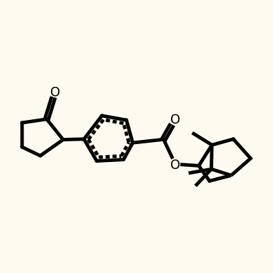 CC1(C)C2CCC1(C)C(OC(=O)c1ccc(C3CCCC3=O)cc1)C2